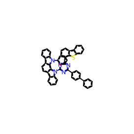 c1ccc(-c2ccc(-c3nc(-c4cccc5c4sc4ccccc45)nc(-n4c5ccccc5c5ccc6c7ccccc7n(-c7ccccc7)c6c54)n3)cc2)cc1